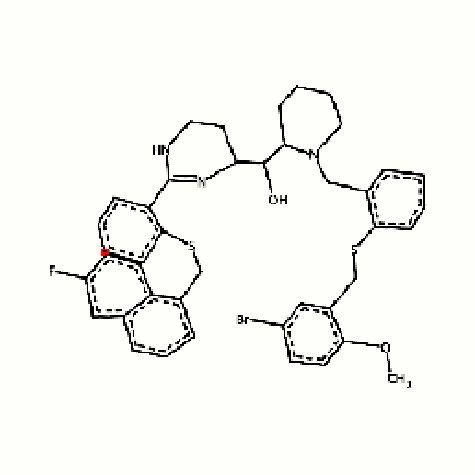 COc1ccc(Br)cc1CSc1ccccc1CN1CCCCC1C(O)C1CCNC(c2ccccc2SCc2cccc3cc(F)ccc23)=N1